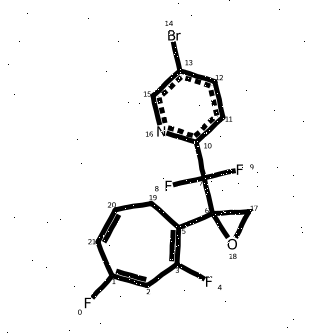 FC1=CC(F)=C(C2(C(F)(F)c3ccc(Br)cn3)CO2)CC=C1